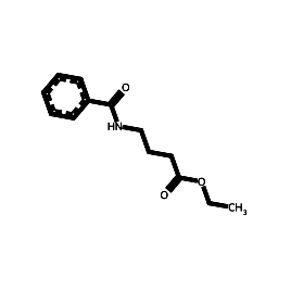 CCOC(=O)CCCNC(=O)c1ccccc1